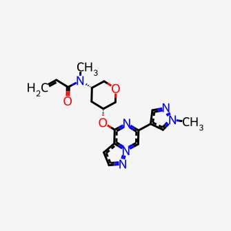 C=CC(=O)N(C)[C@@H]1COC[C@H](Oc2nc(-c3cnn(C)c3)cn3nccc23)C1